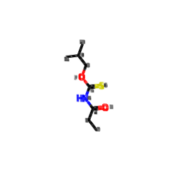 CCC(=O)NC(=S)OCC(C)C